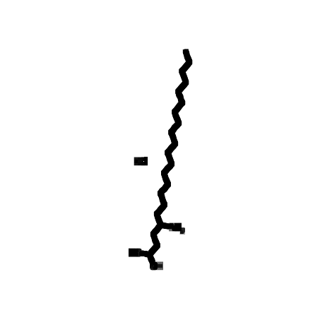 CCCCCCCCCCCCCCCCCC(N)CCC(O)O.Cl